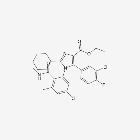 CCOC(=O)c1nc(C2CCCCC2)n(-c2cc(Cl)cc(C)c2C(=O)NC)c1-c1ccc(F)c(Cl)c1